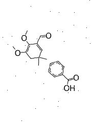 COC1=C(OC)C(C=O)=CC(C)(C)C1.O=C(O)c1ccccc1